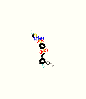 O=S(=O)(CCc1ccc(F)c(C(F)(F)F)c1)c1ccc(S(=O)(=O)Nc2ncc(F)s2)cc1